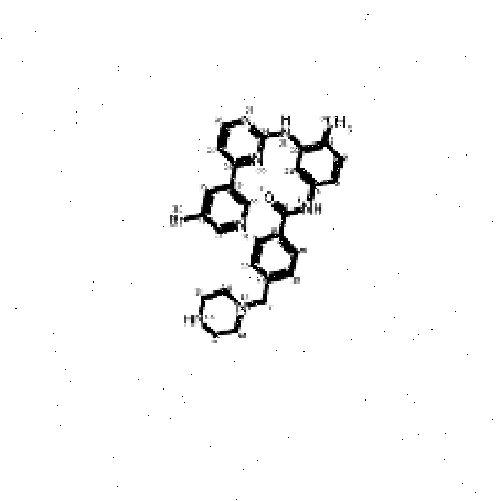 Cc1ccc(NC(=O)c2ccc(CN3CCNCC3)cc2)cc1Nc1nccc(-c2cncc(Br)c2)n1